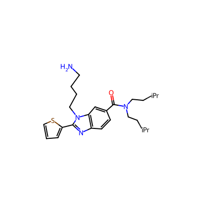 CC(C)CCN(CCC(C)C)C(=O)c1ccc2nc(-c3cccs3)n(CCCCN)c2c1